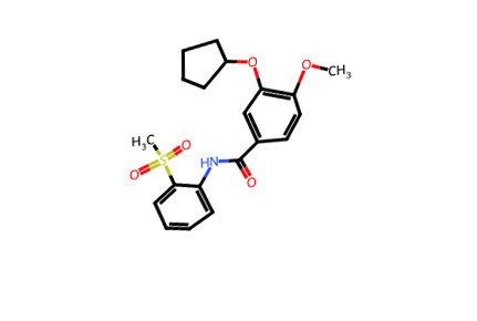 COc1ccc(C(=O)Nc2ccccc2S(C)(=O)=O)cc1OC1CCCC1